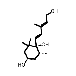 CC(/C=C/[C@]1(O)[C@H](C)C[C@@H](O)CC1(C)C)=C\CO